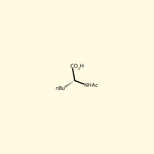 CCCC[C@@H](NC(C)=O)C(=O)O